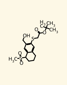 CC(C)(C)OC(=O)CSc1cc2c(cc1CO)C(S(C)(=O)=O)CCC2